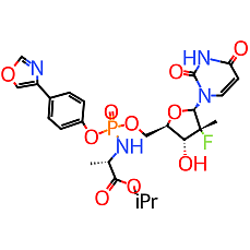 CC(C)OC(=O)[C@H](C)NP(=O)(OC[C@H]1O[C@@H](n2ccc(=O)[nH]c2=O)[C@](C)(F)[C@@H]1O)Oc1ccc(-c2cocn2)cc1